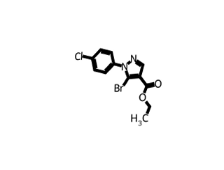 CCOC(=O)c1cnn(-c2ccc(Cl)cc2)c1Br